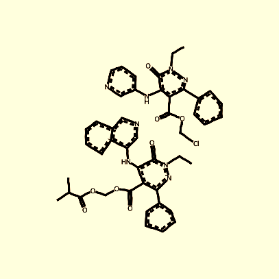 CCn1nc(-c2ccccc2)c(C(=O)OCCl)c(Nc2cccnc2)c1=O.CCn1nc(-c2ccccc2)c(C(=O)OCOC(=O)C(C)C)c(Nc2cncc3ccccc23)c1=O